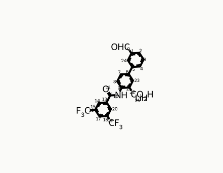 O=Cc1cccc(-c2ccc(NC(=O)c3cc(C(F)(F)F)cc(C(F)(F)F)c3)c(C(=O)O)c2)c1.[LiH]